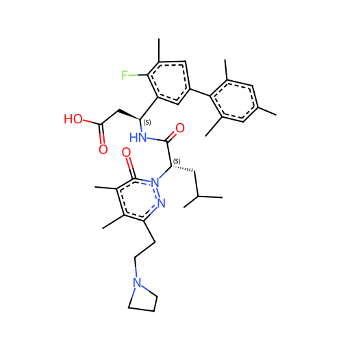 Cc1cc(C)c(-c2cc(C)c(F)c([C@H](CC(=O)O)NC(=O)[C@H](CC(C)C)n3nc(CCN4CCC4)c(C)c(C)c3=O)c2)c(C)c1